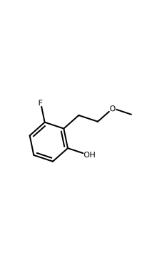 COCCc1c(O)cccc1F